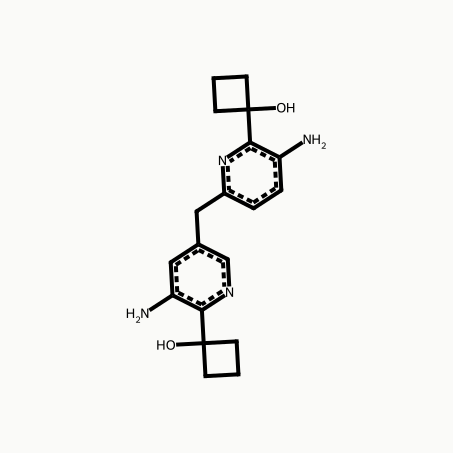 Nc1cc(Cc2ccc(N)c(C3(O)CCC3)n2)cnc1C1(O)CCC1